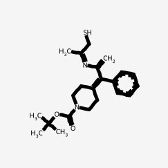 C=C(/N=C(/C)CS)C(=C1CCN(C(=O)OC(C)(C)C)CC1)c1ccccc1